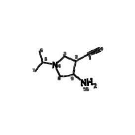 C#CC1CN(C(C)C)CC1N